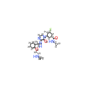 Cc1c(F)cc(C(=O)NC2CC2)cc1-n1ccnc(NC(C)(C)c2ccccc2OCCNC(C)C)c1=O